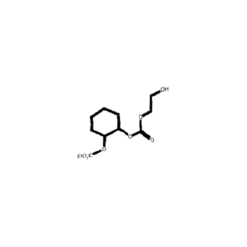 CCOC(=O)OC1CCCCC1OC(=O)OCCO